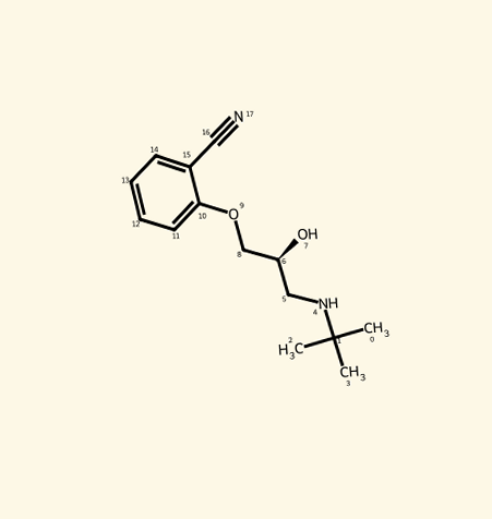 CC(C)(C)NC[C@H](O)COc1ccccc1C#N